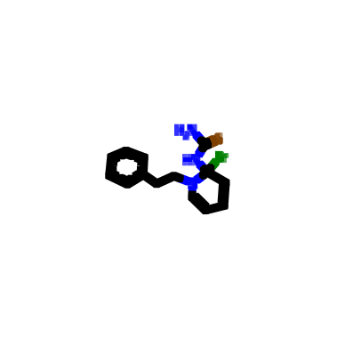 NC(=S)NC1(Br)C=CC=CN1CCc1ccccc1